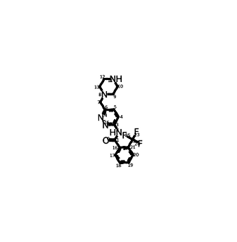 O=C(Nc1ccc(CN2CCNCC2)nn1)c1ccccc1C(F)(F)F